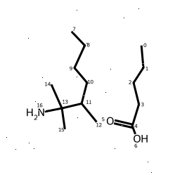 CCCCC(=O)O.CCCCC(C)C(C)(C)N